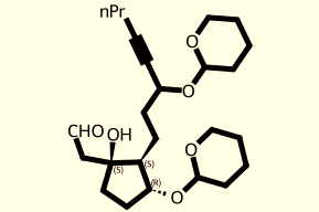 CCCC#CC(CC[C@H]1[C@H](OC2CCCCO2)CC[C@]1(O)CC=O)OC1CCCCO1